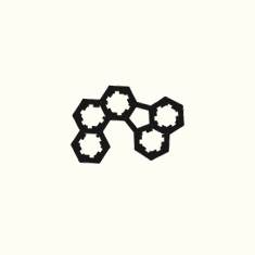 c1cc2c3c(cccc3c1)-c1c-2ccc2ccc3ccccc3c12